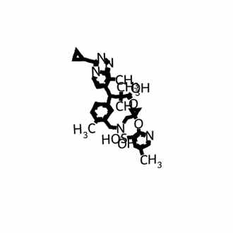 Cc1cnc2c(c1)S(O)(O)N(Cc1cc(C(c3ccn4c(C5CC5)nnc4c3C)C(C)(C)C(=O)O)ccc1C)CC1(CC1)O2